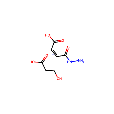 NNC(=O)/C=C\C(=O)O.O=C(O)CCO